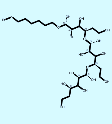 CCSCCCCCCO[C@H](O)[C@H](O)C(O)[C@@H](CCO)O[C@H](O)[C@H](O)C(O)[C@@H](CCO)O[C@H](O)[C@H](O)C(O)[C@H](O)CCO